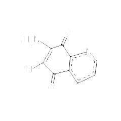 NC1=C(Cl)C(=O)c2cccnc2C1=O